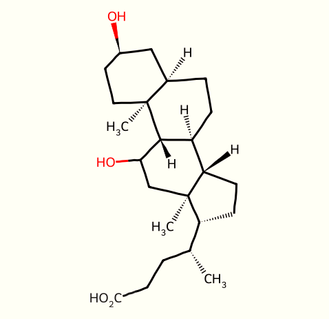 C[C@H](CCC(=O)O)[C@H]1CC[C@H]2[C@@H]3CC[C@@H]4C[C@H](O)CC[C@]4(C)[C@H]3C(O)C[C@]12C